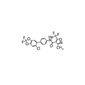 Cc1noc(C(F)(F)F)c1C(=O)Nc1ccc(-c2cc3c(cc2Cl)OC(F)(F)O3)cc1